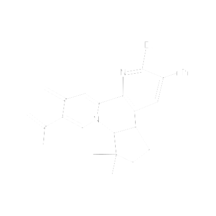 C=C(C)C1=CN2C(=CC1=C)c1nc(CC)c(CCC)cc1C1CCC(C)(C)C12